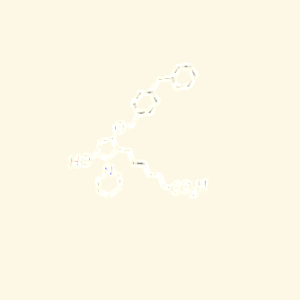 O=C(O)CCCC=CCC1C(OCc2ccc(Cc3ccccc3)cc2)CC(O)C1N1CCCCC1